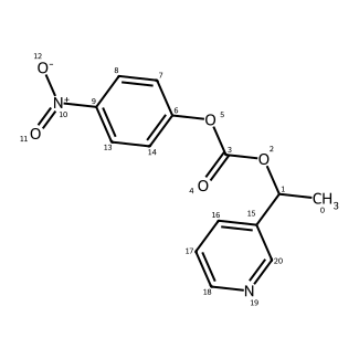 CC(OC(=O)Oc1ccc([N+](=O)[O-])cc1)c1cccnc1